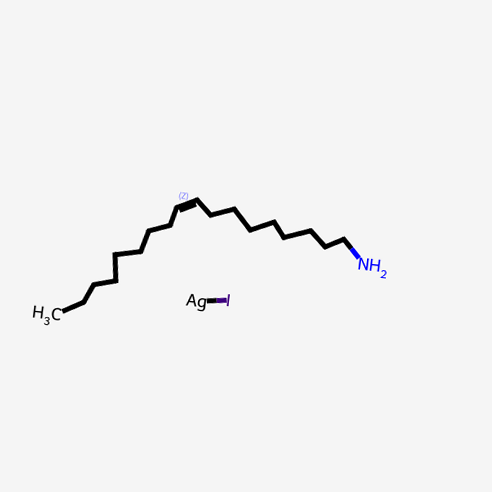 CCCCCCCC/C=C\CCCCCCCCN.[Ag][I]